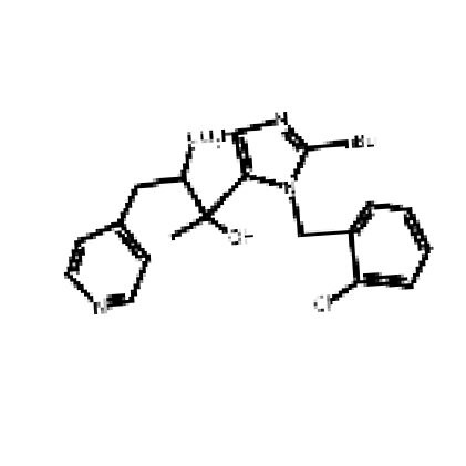 CCCCc1ncc(C(C)(O)C(Cc2ccncc2)C(=O)O)n1Cc1ccccc1Cl